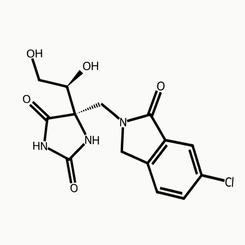 O=C1NC(=O)[C@@](CN2Cc3ccc(Cl)cc3C2=O)([C@H](O)CO)N1